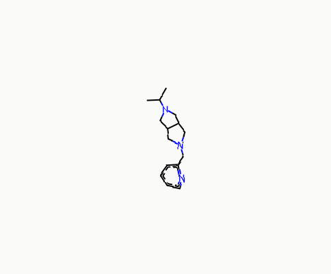 CC(C)N1CC2CN(Cc3ccccn3)CC2C1